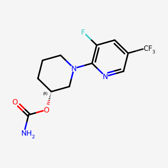 NC(=O)O[C@@H]1CCCN(c2ncc(C(F)(F)F)cc2F)C1